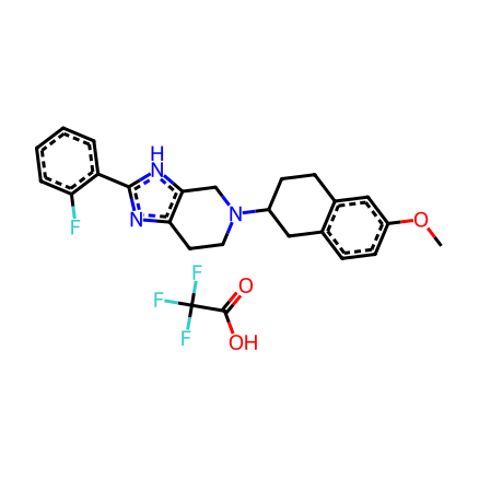 COc1ccc2c(c1)CCC(N1CCc3nc(-c4ccccc4F)[nH]c3C1)C2.O=C(O)C(F)(F)F